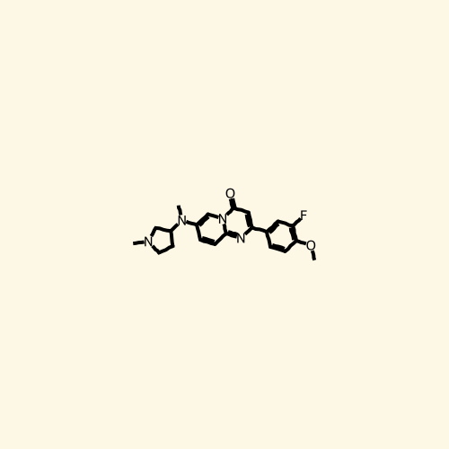 COc1ccc(-c2cc(=O)n3cc(N(C)C4CCN(C)C4)ccc3n2)cc1F